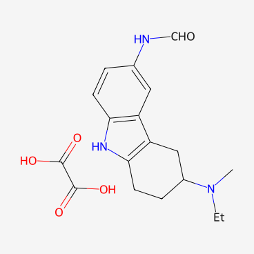 CCN(C)C1CCc2[nH]c3ccc(NC=O)cc3c2C1.O=C(O)C(=O)O